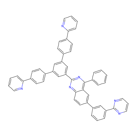 c1ccc(-c2nc(-c3cc(-c4ccc(-c5ccccn5)cc4)cc(-c4ccc(-c5ccccn5)cc4)c3)nc3ccc(-c4cccc(-c5ncccn5)c4)cc23)cc1